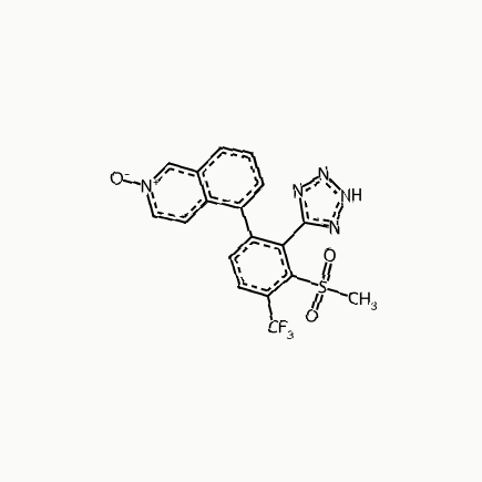 CS(=O)(=O)c1c(C(F)(F)F)ccc(-c2cccc3c[n+]([O-])ccc23)c1-c1nn[nH]n1